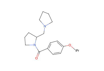 CC(C)Oc1ccc(C(=O)N2CCCC2CN2CCCC2)cc1